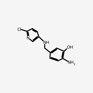 Nc1ccc(CNc2ccc(Cl)nc2)cc1O